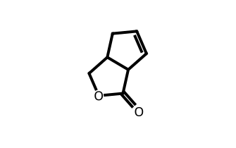 O=C1OCC2CC=CC12